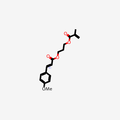 C=C(C)C(=O)OCCCOC(=O)/C=C/c1ccc(OC)cc1